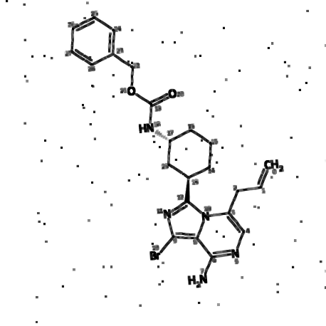 C=CCc1cnc(N)c2c(Br)nc([C@@H]3CCC[C@@H](NC(=O)OCc4ccccc4)C3)n12